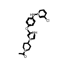 CC(=O)N1CCC(N2C=CNC(Oc3ccc(NN4C=C(Cl)C=CC4)cc3)=C2)CC1